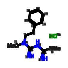 CNC(=N)NC(=N)N(CCc1ccccc1)OC.Cl